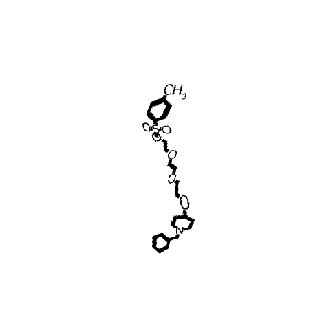 Cc1ccc(S(=O)(=O)OCCOCCOCCOC2CCN(Cc3ccccc3)CC2)cc1